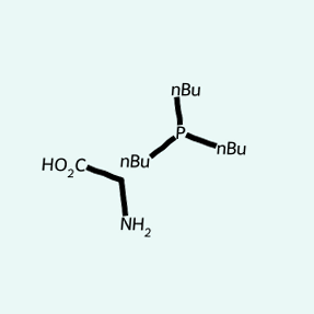 CCCCP(CCCC)CCCC.NCC(=O)O